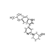 CC(C)Oc1ccc2[nH]nc(-c3ccnc(N4CCCC(O)C4)c3)c2c1